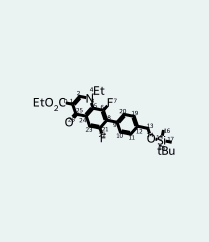 CCOC(=O)c1cn(CC)c2c(F)c(-c3ccc(CO[Si](C)(C)C(C)(C)C)cc3)c(F)cc2c1=O